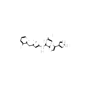 Cc1cn2c(-c3cn[nH]c3)cnc2c(Nc2cc(Cc3ncccc3F)ns2)n1